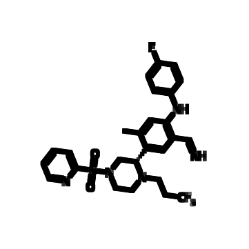 Cc1cc(Nc2ccc(F)cc2)c(C=N)cc1[C@H]1CN(S(=O)(=O)c2ccccn2)CCN1CCC(F)(F)F